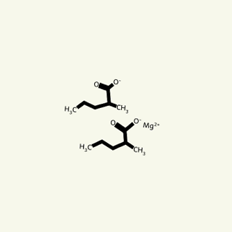 CCCC(C)C(=O)[O-].CCCC(C)C(=O)[O-].[Mg+2]